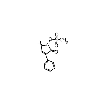 CS(=O)(=O)ON1C(=O)C=C(c2ccccc2)C1=O